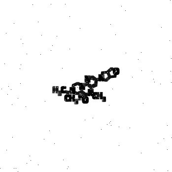 CC(C)N1CCN2c3ncc(N4CC5COCC5C4)cc3N(C)C(=O)[C@H]2C1